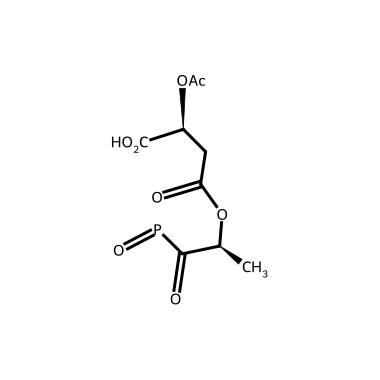 CC(=O)O[C@@H](CC(=O)O[C@@H](C)C(=O)P=O)C(=O)O